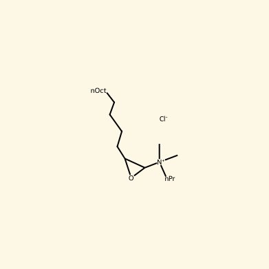 CCCCCCCCCCCCC1OC1[N+](C)(C)CCC.[Cl-]